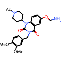 COc1ccc(Cn2c(=O)c3cc(OCN)ccc3n(C3CCN(C(C)=O)CC3)c2=O)cc1OC